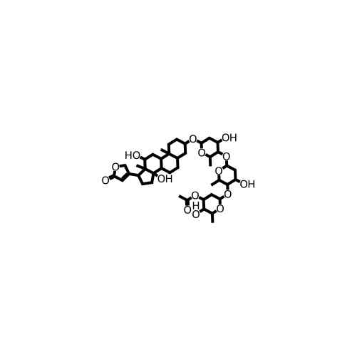 CC(=O)OC1CC(OC2C(O)CC(OC3C(O)CC(OC4CCC5(C)C(CCC6C5CC(O)C5(C)C(C7=CC(=O)OC7)CCC65O)C4)OC3C)OC2C)OC(C)C1O